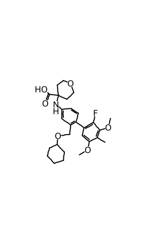 COc1cc(-c2ccc(NC3(C(=O)O)CCOCC3)cc2COC2CCCCC2)c(F)c(OC)c1C